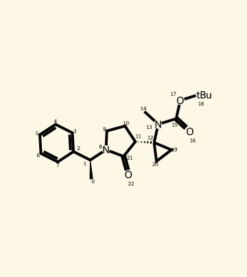 C[C@@H](c1ccccc1)N1CC[C@H](C2(N(C)C(=O)OC(C)(C)C)CC2)C1=O